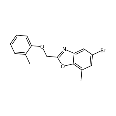 Cc1ccccc1OCc1nc2cc(Br)cc(C)c2o1